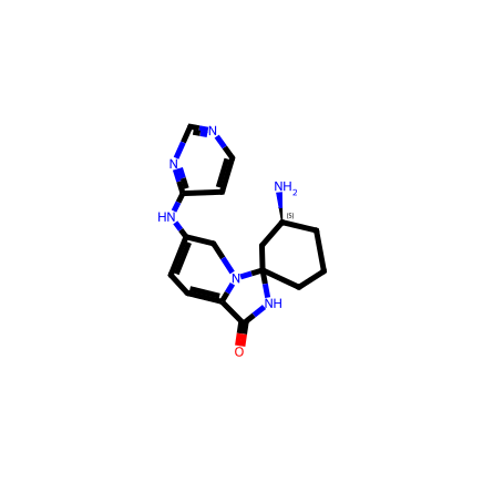 N[C@H]1CCCC2(C1)NC(=O)C1=CC=C(Nc3ccncn3)CN12